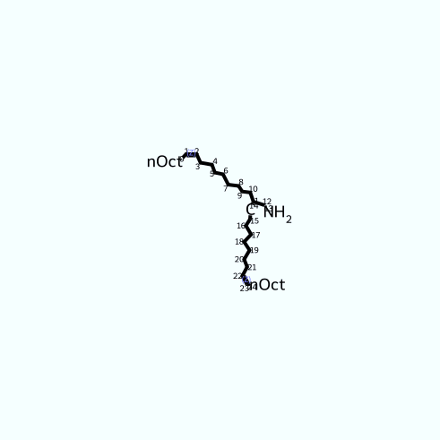 CCCCCCCC/C=C\CCCCCCCCC(CN)CCCCCCCC/C=C\CCCCCCCC